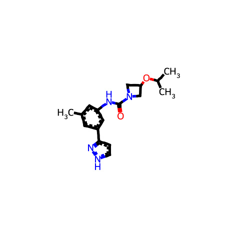 Cc1cc(NC(=O)N2CC(OC(C)C)C2)cc(-c2cc[nH]n2)c1